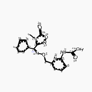 Cn1c(/C(=N\OCc2cccc(NC(=O)O)n2)c2ccccc2)noc1=O